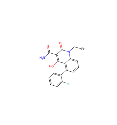 CC(C)Cn1c(=O)c(C(N)=O)c(O)c2c(-c3ccccc3F)cccc21